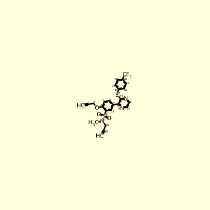 C#CCOc1ccc(-c2nccnc2Sc2ccc(C(F)(F)F)cc2)cc1S(=O)(=O)N(C)CC#C